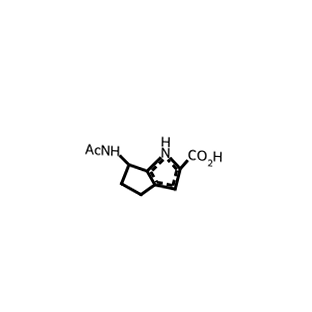 CC(=O)NC1CCc2cc(C(=O)O)[nH]c21